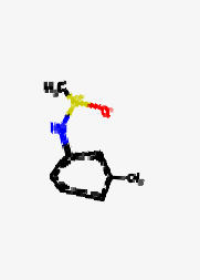 Cc1cccc(N[S+](C)[O-])c1